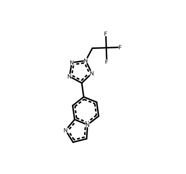 FC(F)(F)Cn1nnc(-c2ccn3ccnc3c2)n1